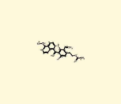 C=Cc1c(CCOC(N)=O)cc(F)c(C(=O)c2cccc3c(OCC)nccc23)c1F